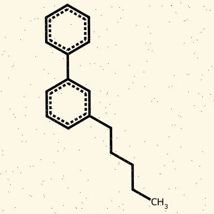 CCCCCc1cccc(-c2ccccc2)c1